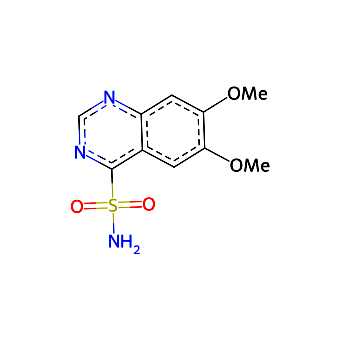 COc1cc2ncnc(S(N)(=O)=O)c2cc1OC